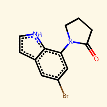 O=C1CCCN1c1cc(Br)cc2cc[nH]c12